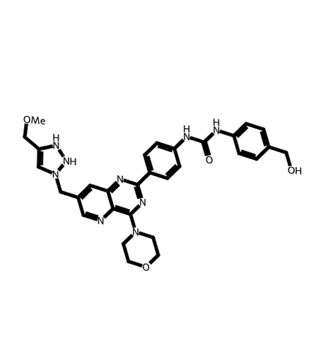 COCC1=CN(Cc2cnc3c(N4CCOCC4)nc(-c4ccc(NC(=O)Nc5ccc(CO)cc5)cc4)nc3c2)NN1